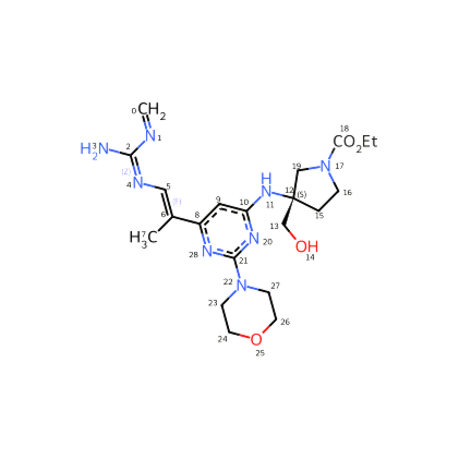 C=N/C(N)=N\C=C(/C)c1cc(N[C@@]2(CO)CCN(C(=O)OCC)C2)nc(N2CCOCC2)n1